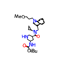 COCCCn1cc(CN(C(=O)C2CNCC(NC(=O)OCC(C)C)C2)C2CC2)c2ccccc21